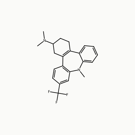 CN1c2ccccc2C2=C(CC(N(C)C)CC2)c2ccc(C(F)(F)F)cc21